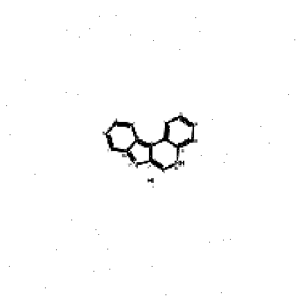 I.c1ccc2c3c4ccccc4[nH]cc-3nc2c1